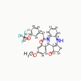 COc1ccc(C2C3=C(CCC3=O)Nc3ccccc3N2C(=O)Cc2cccc(OC(F)(F)F)c2)cc1